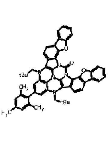 Cc1cc(C)c(-c2cc3c4c(c2)B(CC(C)(C)C)c2c5ccc6c7ccccc7oc6c5n5c(=O)n6c7c(ccc8c9ccccc9oc87)c(c6n-4c25)B3CC(C)(C)C)c(C)c1